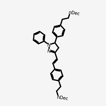 CCCCCCCCCCCCc1ccc(C=CC2=NN(c3ccccc3)C(c3ccc(CCCCCCCCCCCC)cc3)C2)cc1